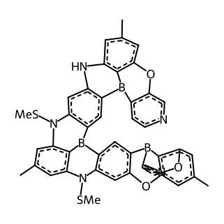 CSN1c2cc3c(cc2B2c4cc5c(cc4N(SC)c4cc(C)cc1c42)Oc1cc(C)cc2c1B5c1ccncc1O2)B1c2ccncc2Oc2cc(C)cc(c21)N3